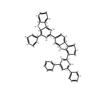 c1ccc(-c2cc(-c3ccccc3)nc(-c3cccc4c3oc3cc(-c5nc(-c6ccccc6)c6sc7ccccc7c6n5)ccc34)n2)cc1